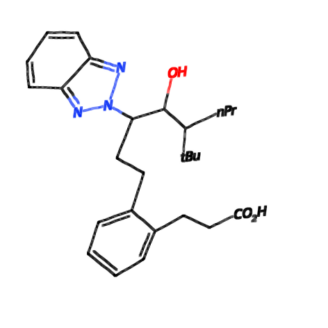 CCCC(C(O)C(CCc1ccccc1CCC(=O)O)n1nc2ccccc2n1)C(C)(C)C